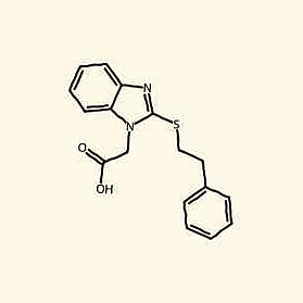 O=C(O)Cn1c(SCCc2ccccc2)nc2ccccc21